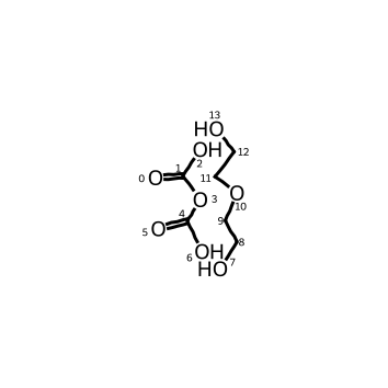 O=C(O)OC(=O)O.OCCOCCO